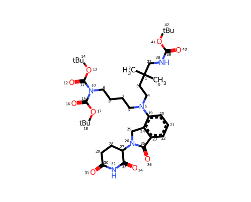 CC(C)(CCN(CCCCN(C(=O)OC(C)(C)C)C(=O)OC(C)(C)C)c1cccc2c1CN(C1CCC(=O)NC1=O)C2=O)CNC(=O)OC(C)(C)C